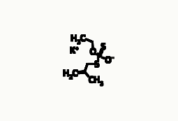 C=C(C)CSP([O-])(=S)OCC.[K+]